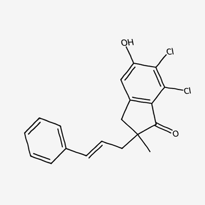 CC1(CC=Cc2ccccc2)Cc2cc(O)c(Cl)c(Cl)c2C1=O